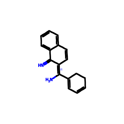 N=C1/C(=C(\N)C2=CC=CCC2)C=Cc2ccccc21